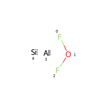 FOF.[Al].[Si]